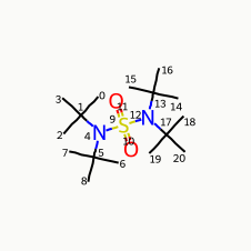 CC(C)(C)N(C(C)(C)C)S(=O)(=O)N(C(C)(C)C)C(C)(C)C